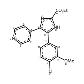 CCOC(=O)c1nc(-c2ccncc2)c(-c2ccc(Cl)c(OC)c2)[nH]1